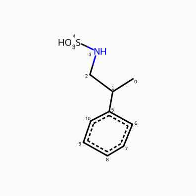 CC(CNS(=O)(=O)O)c1ccccc1